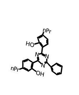 CCCc1ccc(-c2nc(-c3ccccc3)nc(-c3ccc(CCC)cc3O)n2)c(O)c1